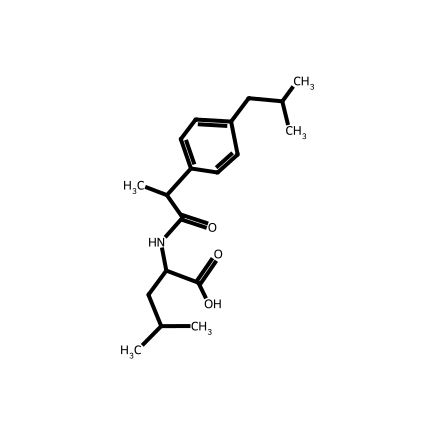 CC(C)Cc1ccc(C(C)C(=O)NC(CC(C)C)C(=O)O)cc1